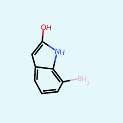 Bc1cccc2cc(O)[nH]c12